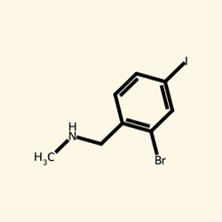 CNCc1ccc(I)cc1Br